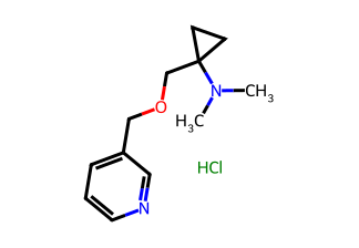 CN(C)C1(COCc2cccnc2)CC1.Cl